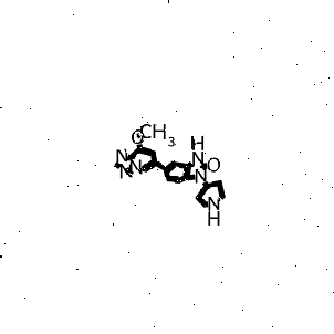 COc1cc(-c2ccc3c(c2)[nH]c(=O)n3C2CCNCC2)cn2ncnc12